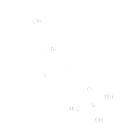 CC(C)(C)[Si](C)(C)OCCc1nc(CO)cs1